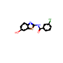 O=C(Nc1nc2ccc(O)cc2s1)c1cccc([18F])c1